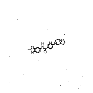 Cc1nc2ccc(NC(=O)c3ccc(N4CCN5CCCC5C4)nc3)cc2o1